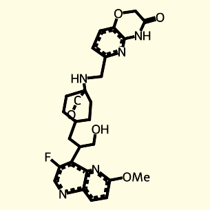 COc1ccc2ncc(F)c(C(CO)CC34CCC(NCc5ccc6c(n5)NC(=O)CO6)(CC3)CO4)c2n1